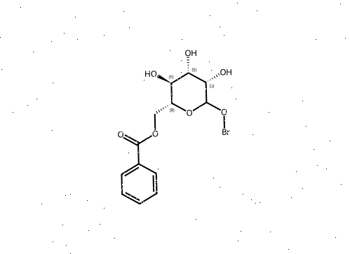 O=C(OC[C@H]1OC(OBr)[C@@H](O)[C@@H](O)[C@@H]1O)c1ccccc1